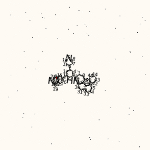 C1=CC(C2=CC(c3ccncc3)=CC(c3ccc(C45CC4C=CC=N5)cc3)C2)Nc2ccc3ccccc3c2C=1c1ccccc1